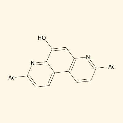 CC(=O)c1ccc2c(cc(O)c3nc(C(C)=O)ccc32)n1